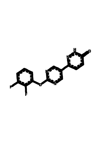 O=c1ccc(-c2cnc(Oc3cccc(F)c3F)nc2)n[nH]1